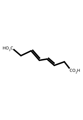 O=C(O)C/C=C/C=C/CC(=O)O